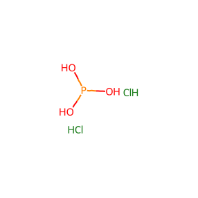 Cl.Cl.OP(O)O